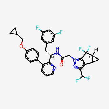 O=C(Cn1nc(C(F)F)c2c1C(F)(F)[C@@H]1CC21)N[C@@H](Cc1cc(F)cc(F)c1)c1ncccc1-c1ccc(OCC2CC2)cc1